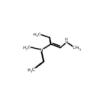 CC/C(=C\NC)N(C)CC